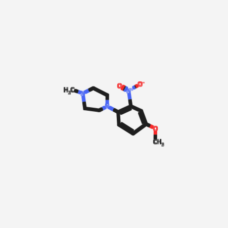 COc1ccc(N2CCN(C)CC2)c([N+](=O)[O-])c1